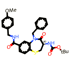 COc1ccc(CNC(=O)c2ccc3c(c2)N(Cc2ccccc2)C(=O)[C@@H](NC(=O)OC(C)(C)C)CS3)cc1